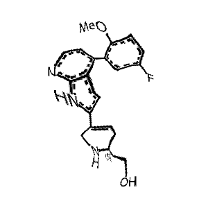 COc1ccc(F)cc1-c1ccnc2[nH]c(C3=C[C@@H](CO)NC3)cc12